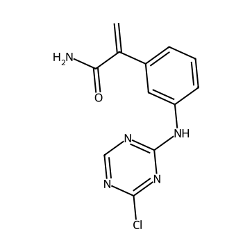 C=C(C(N)=O)c1cccc(Nc2ncnc(Cl)n2)c1